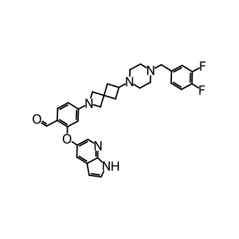 O=Cc1ccc(N2CC3(CC(N4CCN(Cc5ccc(F)c(F)c5)CC4)C3)C2)cc1Oc1cnc2[nH]ccc2c1